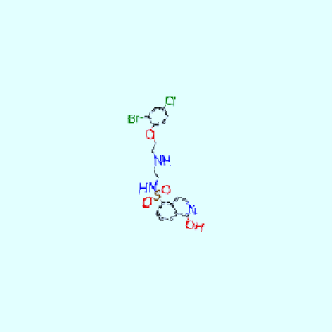 O=S(=O)(NCCNCCOc1ccc(Cl)cc1Br)c1cccc2c(O)nccc12